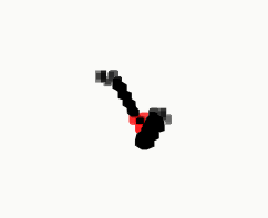 CCCCCCCCCCOC(=O)Oc1c2ccccc2cc2ccc(C)cc12